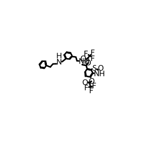 O=C(Oc1ccc(C(CNCCc2cccc(CNCCCc3ccccc3)c2)OC(=O)C(F)(F)F)c2sc(=O)[nH]c12)C(F)(F)F